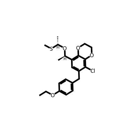 CCOc1ccc(Cc2cc([C@@H](C)O[C@@H](C)SC)c3c(c2Cl)OCCO3)cc1